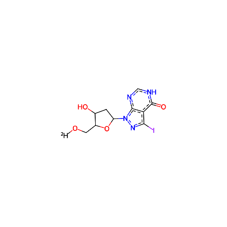 [2H]OCC1OC(n2nc(I)c3c(=O)[nH]cnc32)CC1O